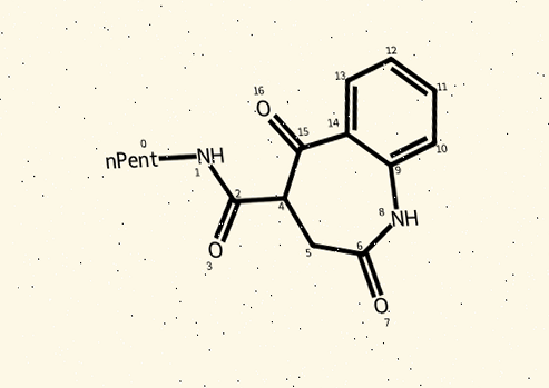 CCCCCNC(=O)C1CC(=O)Nc2ccccc2C1=O